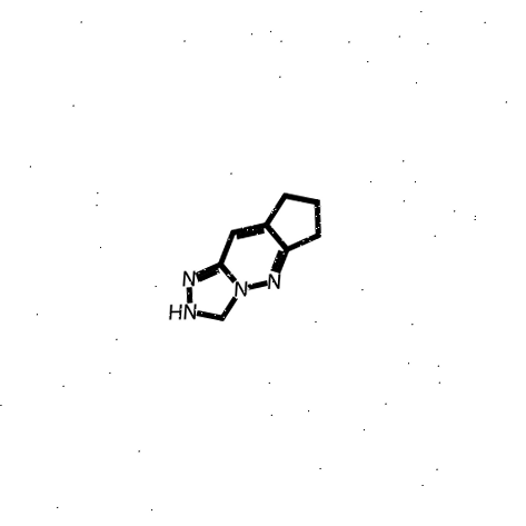 C1=C2CCCC2=NN2CNN=C12